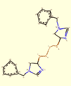 C1=NC(SSSSC2CN(Cc3ccccc3)C=N2)CN1Cc1ccccc1